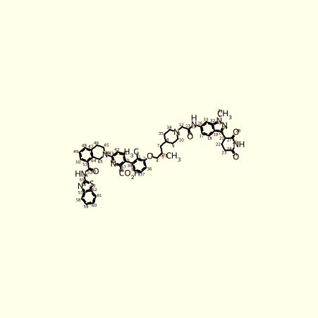 Cc1c(OC[C@@H](C)CC2CCN(CC(=O)Nc3ccc4c(C5CCC(=O)NC5=O)nn(C)c4c3)CC2)cccc1-c1ccc(N2CCc3cccc(C(=O)Nc4nc5ccccc5s4)c3C2)nc1C(=O)O